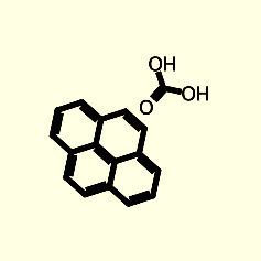 O=C(O)O.c1cc2ccc3cccc4ccc(c1)c2c34